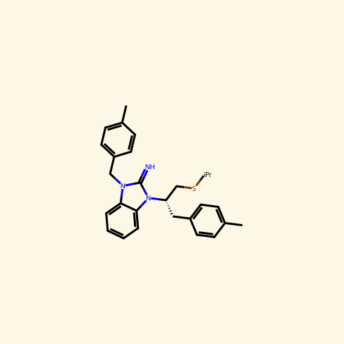 Cc1ccc(C[C@@H](CSC(C)C)n2c(=N)n(Cc3ccc(C)cc3)c3ccccc32)cc1